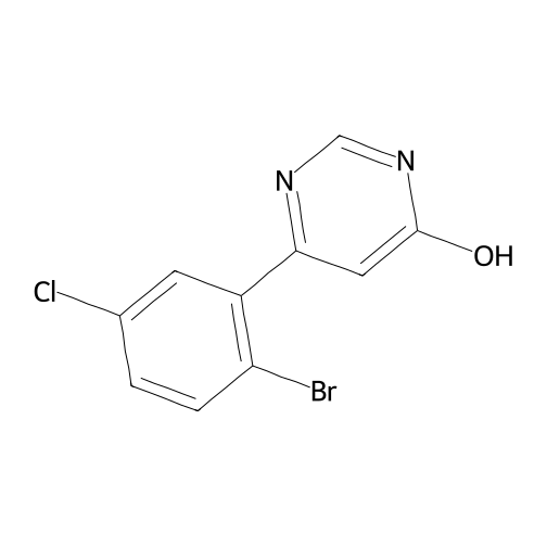 Oc1cc(-c2cc(Cl)ccc2Br)ncn1